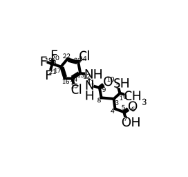 CC(S)C(CC(=O)O)CC(=O)NNc1c(Cl)cc(C(F)(F)F)cc1Cl